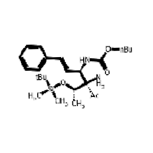 CCCCOC(=O)N[C@H](/C=C/c1ccccc1)[C@](N)(C(C)=O)[C@H](C)O[Si](C)(C)C(C)(C)C